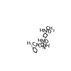 CC(=O)Nc1ccc(C(=O)Nc2[nH]nc3c2CN(C(C)c2ccccc2)C3)cc1